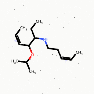 C/C=C\CCNC(CC)C(/C=C\C)OC(C)C